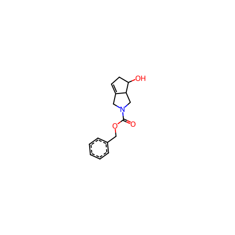 O=C(OCc1ccccc1)N1CC2=CCC(O)C2C1